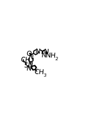 CCCSc1nc2cc(C)ccc2n1C1CCN(C(=O)C2CCN(Cc3cnc(N)nc3)CC2)CC1